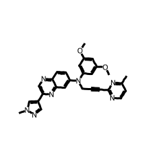 COc1cc(OC)cc(N(CC#Cc2nccc(C)n2)c2ccc3ncc(-c4cnn(C)c4)nc3c2)c1